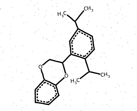 CC(C)c1ccc(C(C)C)c(C2COc3ccccc3O2)c1